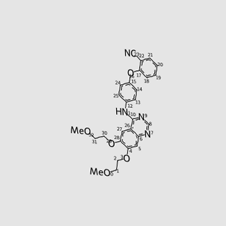 COCCOc1cc2ncnc(Nc3ccc(Oc4ccccc4C#N)cc3)c2cc1OCCOC